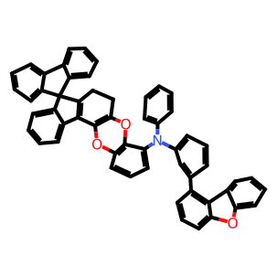 c1ccc(N(c2cccc(-c3cccc4oc5ccccc5c34)c2)c2cccc3c2OC2=C(O3)C3=C(CC2)C2(c4ccccc43)c3ccccc3-c3ccccc32)cc1